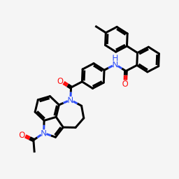 CC(=O)n1cc2c3c(cccc31)N(C(=O)c1ccc(NC(=O)c3ccccc3-c3ccc(C)cc3)cc1)CCC2